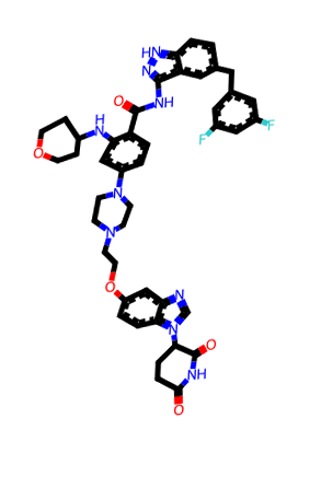 O=C1CCC(n2cnc3cc(OCCN4CCN(c5ccc(C(=O)Nc6n[nH]c7ccc(Cc8cc(F)cc(F)c8)cc67)c(NC6CCOCC6)c5)CC4)ccc32)C(=O)N1